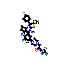 CN(c1nc(-c2ccc(F)cc2)c(C#N)s1)c1c2c(nc3c(F)cc(N4CCN(CC(=O)N5CC(F)C5)CC4)cc13)CCC2